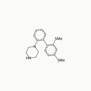 CSc1ccc(-c2ccccc2N2CCNCC2)c(SC)c1